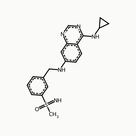 CS(=N)(=O)c1cccc(CNc2ccc3c(NC4CC4)ncnc3c2)c1